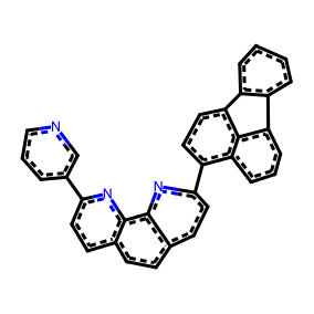 c1cncc(-c2ccc3ccc4ccc(-c5ccc6c7c(cccc57)-c5ccccc5-6)nc4c3n2)c1